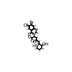 CC(=O)C(CC(=O)CC1NCCCC1O)n1cnc2cc(Br)c(Cl)cc2c1=O